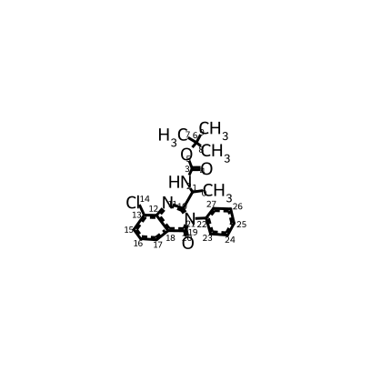 CC(NC(=O)OC(C)(C)C)c1nc2c(Cl)cccc2c(=O)n1-c1ccccc1